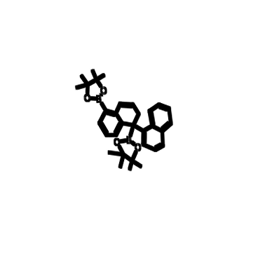 CC1(C)OB(c2cccc3c2C=CCC3(B2OC(C)(C)C(C)(C)O2)c2cccc3ccccc23)OC1(C)C